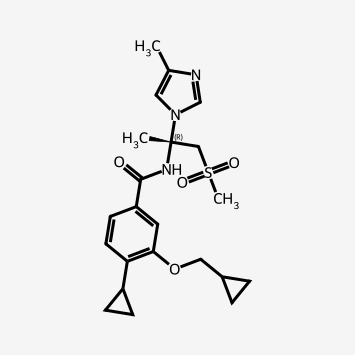 Cc1cn([C@](C)(CS(C)(=O)=O)NC(=O)c2ccc(C3CC3)c(OCC3CC3)c2)cn1